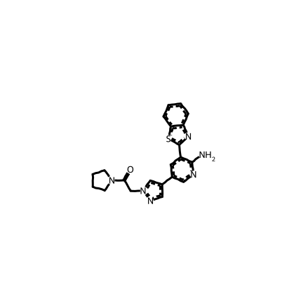 Nc1ncc(-c2cnn(CC(=O)N3CCCC3)c2)cc1-c1nc2ccccc2s1